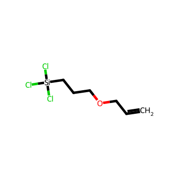 C=CCOCCC[Si](Cl)(Cl)Cl